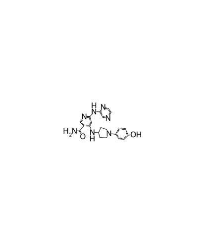 NC(=O)c1cnc(Nc2cnccn2)cc1NC1CCN(c2ccc(O)cc2)CC1